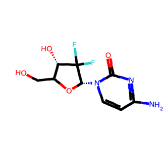 Nc1ccn([C@@H]2OC(CO)[C@H](O)C2(F)F)c(=O)n1